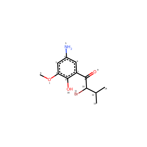 COc1cc(N)cc(C(=O)C(Br)C(C)C)c1O